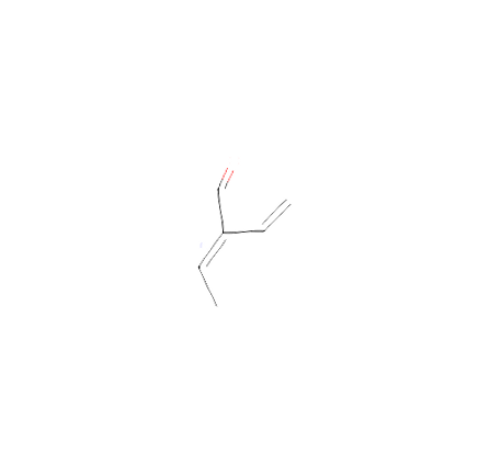 C=C/C(C=O)=C\C